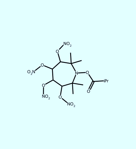 CC(C)C(=O)ON1C(C)(C)C(O[N+](=O)[O-])C(O[N+](=O)[O-])C(O[N+](=O)[O-])C(O[N+](=O)[O-])C1(C)C